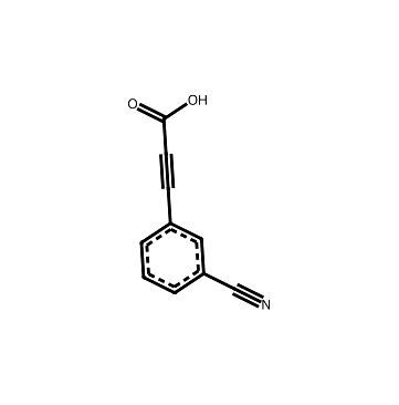 N#Cc1cccc(C#CC(=O)O)c1